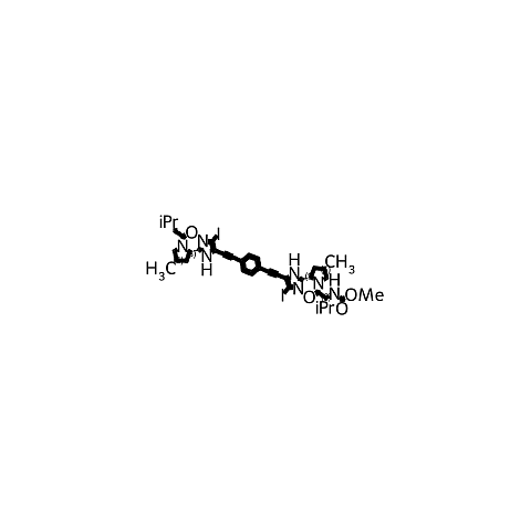 COC(=O)N[C@H](C(=O)N1C[C@@H](C)C[C@H]1c1nc(I)c(C#Cc2ccc(C#Cc3[nH]c([C@@H]4C[C@H](C)CN4C(=O)CC(C)C)nc3I)cc2)[nH]1)C(C)C